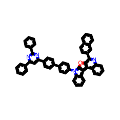 c1ccc(-c2cc(-c3ccc(-c4ccc(-n5c6ccccc6c6c7c(oc65)c(-c5ccc6ccccc6c5)nc5ccccc57)cc4)cc3)nc(-c3ccccc3)n2)cc1